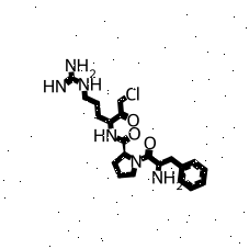 N=C(N)NCCCC(NC(=O)[C@@H]1CCCN1C(=O)C(N)Cc1ccccc1)C(=O)CCl